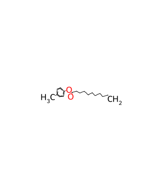 C=CCCCCCCCCC(=O)Oc1ccc(C)cc1